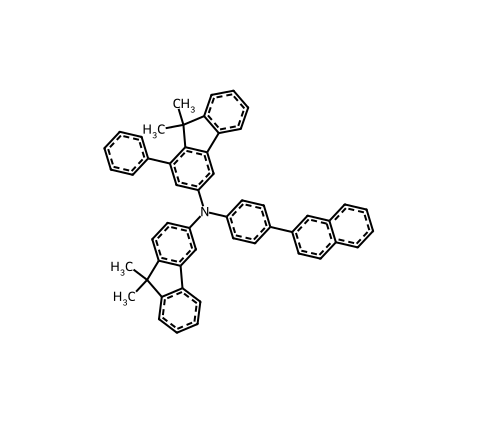 CC1(C)c2ccccc2-c2cc(N(c3ccc(-c4ccc5ccccc5c4)cc3)c3cc(-c4ccccc4)c4c(c3)-c3ccccc3C4(C)C)ccc21